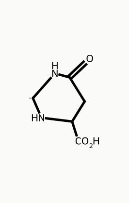 O=C1CC(C(=O)O)N[CH]N1